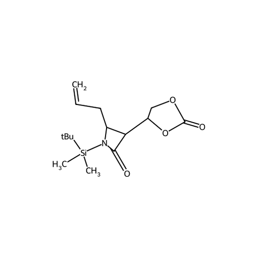 C=CCC1C(C2COC(=O)O2)C(=O)N1[Si](C)(C)C(C)(C)C